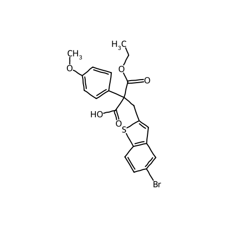 CCOC(=O)C(Cc1cc2cc(Br)ccc2s1)(C(=O)O)c1ccc(OC)cc1